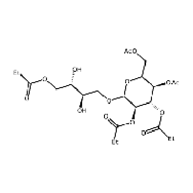 CCC(=O)OC[C@H](O)[C@H](O)COC1OC(COC(C)=O)[C@@H](OC(C)=O)[C@H](OC(=O)CC)[C@H]1OC(=O)CC